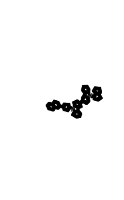 c1ccc2cc(-c3ccc(-n4c5ccccc5c5cc(-c6ccc7c(c6)c6ccccc6n7-c6cccc7ccccc67)ccc54)cc3)ccc2c1